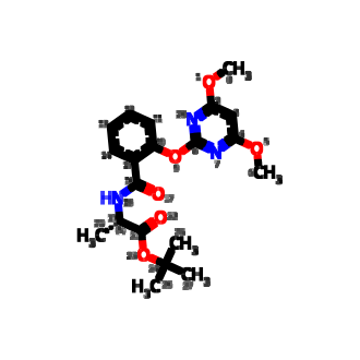 COc1cc(OC)nc(Oc2ccccc2C(=O)N[C@@H](C)C(=O)OC(C)(C)C)n1